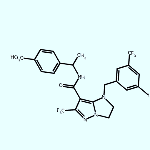 CC(NC(=O)c1c(C(F)(F)F)nn2c1N(Cc1cc(I)cc(C(F)(F)F)c1)CC2)c1ccc(C(=O)O)cc1